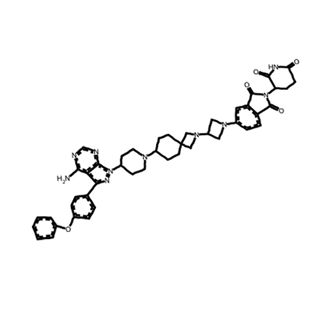 Nc1ncnc2c1c(-c1ccc(Oc3ccccc3)cc1)nn2C1CCN(C2CCC3(CC2)CN(C2CN(c4ccc5c(c4)C(=O)N(C4CCC(=O)NC4=O)C5=O)C2)C3)CC1